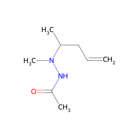 C=CCC(C)N(C)NC(C)=O